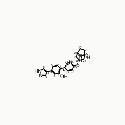 Oc1cc(-c2cn[nH]c2)ccc1-c1ccc(S[C@@H]2CC3CC[C@@H](C2)N3)nn1